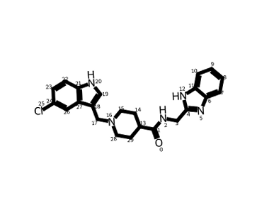 O=C(NCc1nc2ccccc2[nH]1)C1CCN(Cc2c[nH]c3ccc(Cl)cc23)CC1